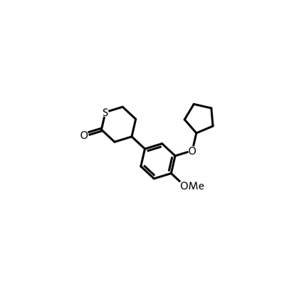 COc1ccc(C2CCSC(=O)C2)cc1OC1CCCC1